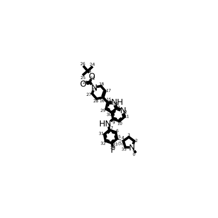 CN1CC[C@@H](c2cc(Nc3ccnc4[nH]c(C5=CCN(C(=O)OC(C)(C)C)CC5)cc34)ccc2F)C1